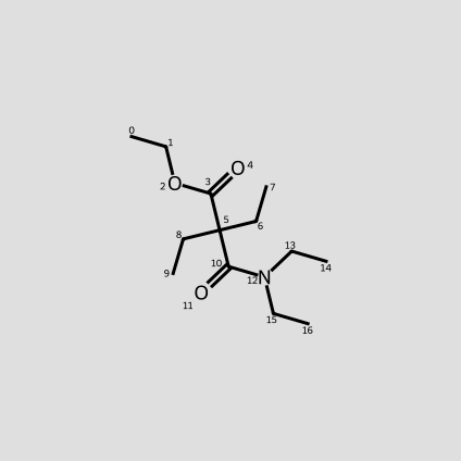 CCOC(=O)C(CC)(CC)C(=O)N(CC)CC